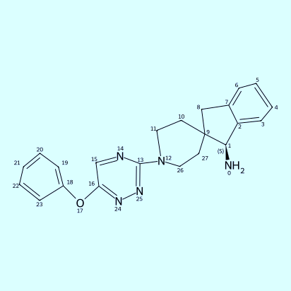 N[C@@H]1c2ccccc2CC12CCN(c1ncc(Oc3ccccc3)nn1)CC2